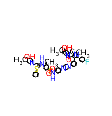 Cc1cc(S(=O)(=O)Nc2ccc(N3CCN(c4cccc(-c5c(C(=O)N6CCC(C)(O)CC6)c(C)n(C)c5-c5ccc(F)cc5)c4)CC3)cc2)ccc1N[C@H](CCN1CCC(C)(O)CC1)CSc1ccccc1